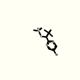 C[SiH](C)OC(c1ncc(Br)cn1)C(C)(C)C